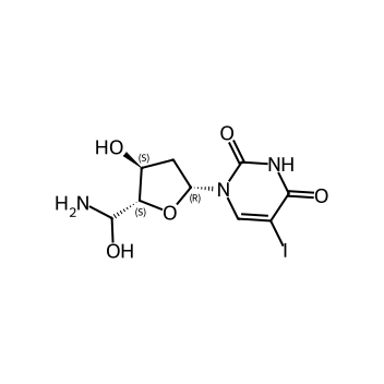 NC(O)[C@H]1O[C@@H](n2cc(I)c(=O)[nH]c2=O)C[C@@H]1O